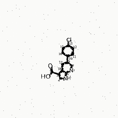 O=C(O)c1c[nH]c2ncc(-c3ccc(Cl)cc3)cc12